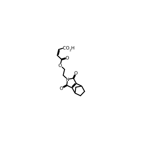 O=C(O)/C=C\C(=O)OCCN1C(=O)C2=C(C1=O)C1CCC2C1